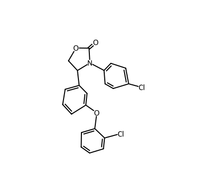 O=C1OCC(c2cccc(Oc3ccccc3Cl)c2)N1c1ccc(Cl)cc1